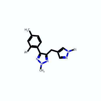 CCn1cc(Cc2nn(C)nc2-c2ccc(C)cc2C(C)C)cn1